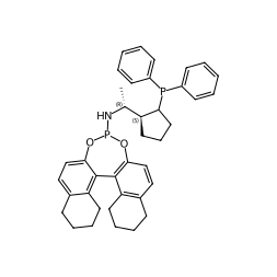 C[C@@H](Np1oc2ccc3c(c2c2c4c(ccc2o1)CCCC4)CCCC3)[C@@H]1CCCC1P(c1ccccc1)c1ccccc1